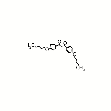 CCCCCOc1ccc(C(=O)CC(=O)c2ccc(OCCCCC)cc2)cc1